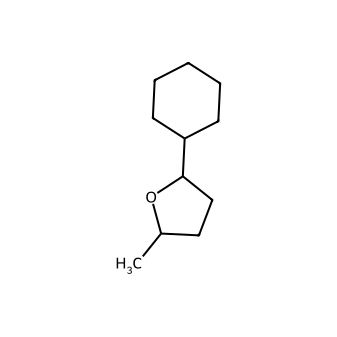 CC1CCC(C2CCCCC2)O1